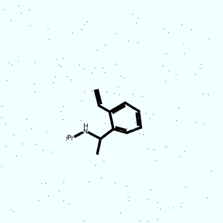 C=Cc1ccccc1C(C)NC(C)C